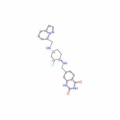 O=c1[nH]c(=O)c2ccc(CN[C@@H]3CC[C@@H](NCc4cccc5ccnn45)C[C@@H]3F)cc2[nH]1